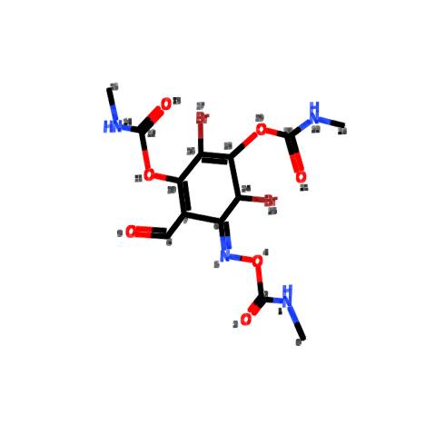 CNC(=O)ON=C1C(C=O)=C(OC(=O)NC)C(Br)=C(OC(=O)NC)C1Br